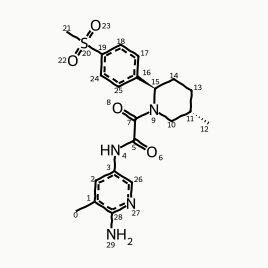 Cc1cc(NC(=O)C(=O)N2C[C@@H](C)CC[C@@H]2c2ccc(S(C)(=O)=O)cc2)cnc1N